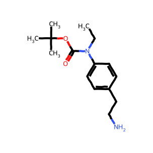 CCN(C(=O)OC(C)(C)C)c1ccc(CCN)cc1